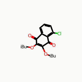 CCC(C)OC1=C(OC(C)CC)C(=O)c2c(Cl)cccc2C1=O